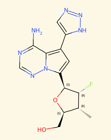 C[C@H]1[C@@H](F)[C@H](c2cc(-c3cnn[nH]3)c3c(N)ncnn23)O[C@@H]1CO